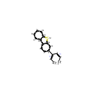 CC/C=C\C(=C/CC)c1ccc2c(c1)sc1ccccc12